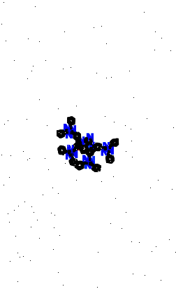 c1ccc(-c2nc(-c3ccccc3)nc(-c3ccc4c(c3)c3cc(-c5nc(-c6ccccc6)nc(-c6ccccc6)n5)ccc3n4-c3cncc(-n4c5ccc(-c6nc(-c7ccccc7)nc(-c7ccccc7)n6)cc5c5cc(-c6nc(-c7ccccc7)nc(-c7ccccc7)n6)ccc54)c3-c3cccc4c3C4)n2)cc1